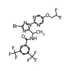 CC(NC(=O)c1cc(C(F)(F)F)cc(C(F)(F)F)c1)c1nc(Br)nn1-c1ncc(OCC(F)F)cn1